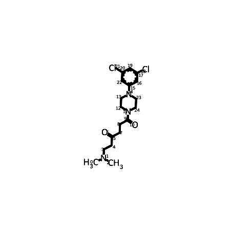 CN(C)CCC(=O)CCC(=O)N1CCN(c2cc(Cl)cc(Cl)c2)CC1